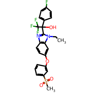 CCn1c(C(O)(c2ccc(F)cc2)C(F)(F)F)nc2ccc(Oc3cccc(S(C)(=O)=O)c3)cc21